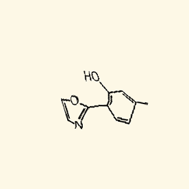 Cc1ccc(-c2ncco2)c(O)c1